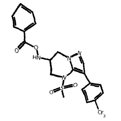 CS(=O)(=O)N1CC(NOC(=O)c2ccccc2)Cn2ncc(-c3ccc(C(F)(F)F)cc3)c21